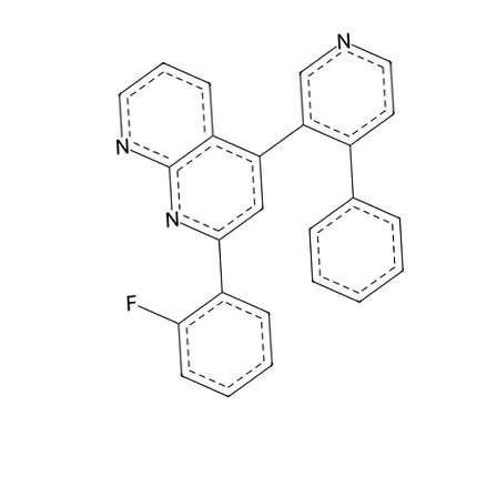 Fc1ccccc1-c1cc(-c2cnccc2-c2ccccc2)c2cccnc2n1